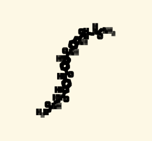 NCC(=O)NCCNC(=O)c1cc2ccc(NC(=O)c3ccc4[nH]c(C(=O)Nc5ccc6cc(C(=O)NCCNC(=O)CN)[nH]c6c5)cc4c3)cc2[nH]1